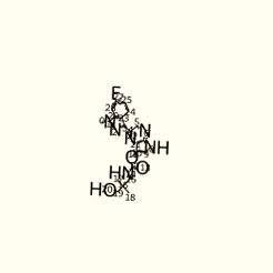 Cn1nc(-c2cnc3[nH]cc(OC(=O)NCC(C)(C)CO)c3n2)c2ccc(F)cc21